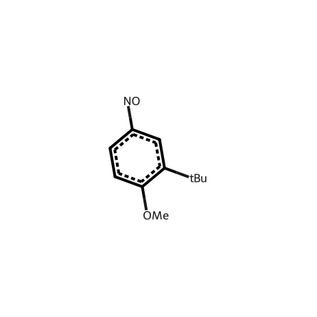 COc1ccc(N=O)cc1C(C)(C)C